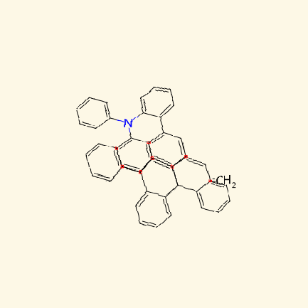 C=C/C=C\C1=CC2(c3ccccc3)c3ccccc3C1(c1ccccc1)c1ccc(-c3ccccc3N(c3ccccc3)c3ccccc3)cc12